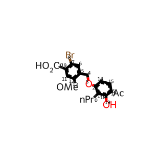 CCCc1c(OCc2cc(Br)c(C(=O)O)cc2OC)ccc(C(C)=O)c1O